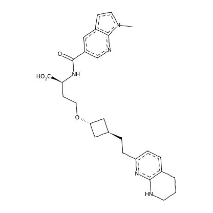 Cn1ccc2cc(C(=O)N[C@@H](CCO[C@H]3C[C@H](CCc4ccc5c(n4)NCCC5)C3)C(=O)O)cnc21